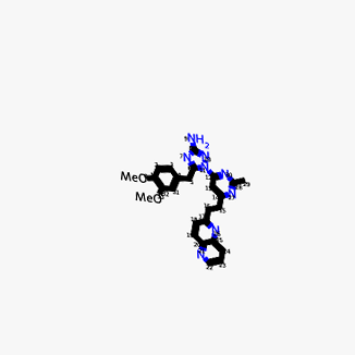 COc1ccc(Cc2nc(N)nn2-c2cc(CCc3ccc4ncccc4n3)nc(C)n2)cc1OC